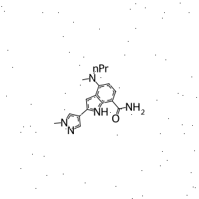 CCCN(C)c1ccc(C(N)=O)c2[nH]c(-c3cnn(C)c3)cc12